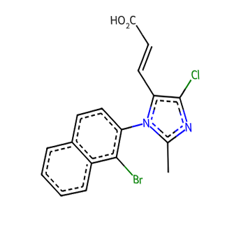 Cc1nc(Cl)c(/C=C/C(=O)O)n1-c1ccc2ccccc2c1Br